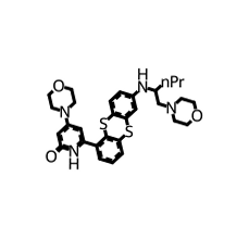 CCCC(CN1CCOCC1)Nc1ccc2c(c1)Sc1cccc(-c3cc(N4CCOCC4)cc(=O)[nH]3)c1S2